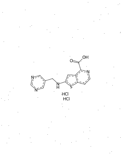 Cl.Cl.O=C(O)c1nccc2sc(NCc3cncnc3)cc12